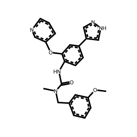 COc1cccc(CN(C)C(=O)Nc2ccc(-c3cn[nH]c3)cc2Oc2cccnc2)c1